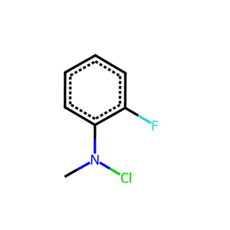 CN(Cl)c1ccccc1F